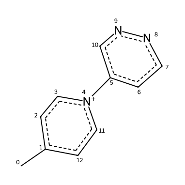 Cc1cc[n+](-c2ccnnc2)cc1